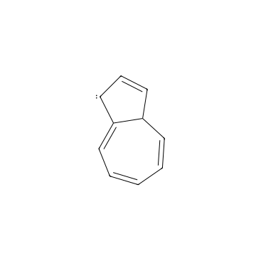 [C]1C=CC2C=CC=CC=C12